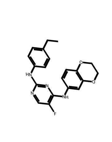 CCc1ccc(Nc2ncc(F)c(Nc3ccc4c(c3)OCCO4)n2)cc1